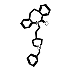 O=C1c2ccccc2CCc2ccccc2N1CCC1CCN(Cc2ccccc2)CC1